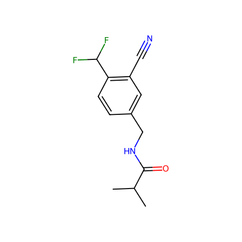 CC(C)C(=O)NCc1ccc(C(F)F)c(C#N)c1